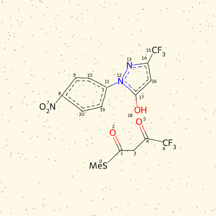 CSC(=O)CC(=O)C(F)(F)F.O=[N+]([O-])c1ccc(-n2nc(C(F)(F)F)cc2O)cc1